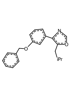 CC(C)Cc1ocnc1-c1cccc(OCc2ccccc2)c1